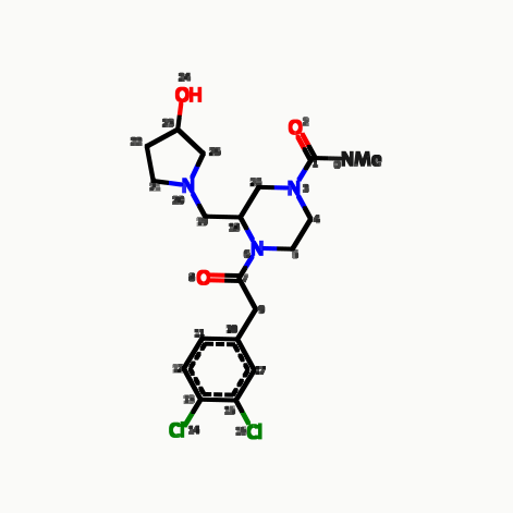 CNC(=O)N1CCN(C(=O)Cc2ccc(Cl)c(Cl)c2)C(CN2CCC(O)C2)C1